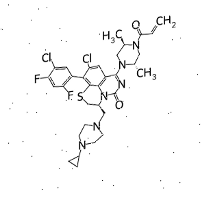 C=CC(=O)N1C[C@H](C)N(c2nc(=O)n3c4c(c(-c5cc(Cl)c(F)cc5F)c(Cl)cc24)SC[C@@H]3CN2CCN(C3CC3)CC2)C[C@H]1C